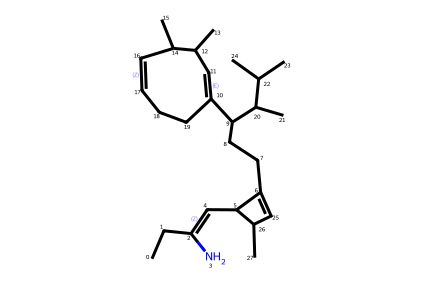 CC/C(N)=C/C1C(CCC(/C2=C/C(C)C(C)/C=C\CC2)C(C)C(C)C)=CC1C